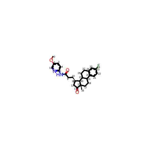 COc1ccc(NC(=O)CC[C@@H]2CC(=O)[C@@]3(C)CCC4c5ccc(F)cc5CCC4C23)nc1